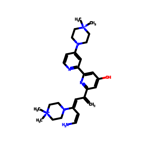 C=C(/C=C(\C=C/N)N1CC[N+](C)(C)CC1)c1cc(O)cc(-c2cc(N3CC[N+](C)(C)CC3)ccn2)n1